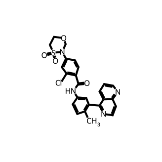 Cc1ccc(NC(=O)c2ccc(N3COCCS3(=O)=O)cc2Cl)cc1-c1nccc2ncccc12